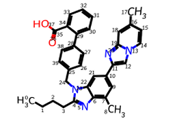 CCCCc1nc2c(C)cc(-c3cn4ccc(C)cc4n3)cc2n1Cc1ccc(-c2ccccc2C(=O)O)cc1